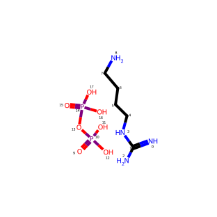 N=C(N)NCCCCN.O=P(O)(O)OP(=O)(O)O